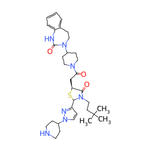 CC(C)(C)CCN1C(=O)[C@H](CC(=O)N2CCC(N3CCc4ccccc4NC3=O)CC2)SC1c1ccn(C2CCNCC2)n1